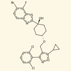 O[C@]1(c2nc3ccc(Br)c(F)c3s2)CC[C@@H](OCc2c(-c3c(Cl)cccc3Cl)noc2C2CC2)CC1